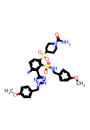 COc1ccc(CNS(=O)(=O)c2c(S(=O)(=O)C3CCN(C(N)=O)CC3)ccc(I)c2-c2nnn(Cc3ccc(OC)cc3)n2)cc1